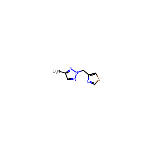 O=[N+]([O-])c1cnn(Cc2cs[c]n2)n1